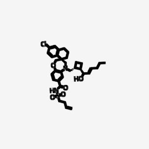 C=CCCS(=O)(=O)NC(=O)c1ccc2c(c1)N(C[C@@H]1CC[C@H]1C(O)/C=C/CCC)C[C@@]1(CCCc3cc(Cl)ccc31)CO2